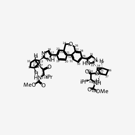 COC(=O)N[C@H](C(=O)N1[C@@H]2CC[C@@H](C2)[C@H]1c1ncc(-c2ccc3c(c2)COCc2cc(-c4cnc([C@@H]5[C@H]6CC[C@H](C6)N5C(=O)[C@@H](NC(=O)OC)C(C)C)[nH]4)ccc2-3)[nH]1)C(C)C